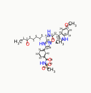 CCC(=O)CCCCC[C@H](NC(=O)Cc1c(C)[nH]c2ccc(OC)cc12)c1ncc(-c2cccc(C(=O)NS(C)(=O)=O)c2)[nH]1